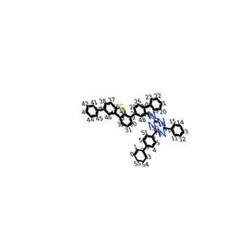 C1=CC(c2ccc(-c3nc(-c4ccccc4)nc(-n4c5ccccc5c5ccc(-c6cccc7c6sc6ccc(-c8ccccc8)cc67)cc54)n3)cc2)=CCC1